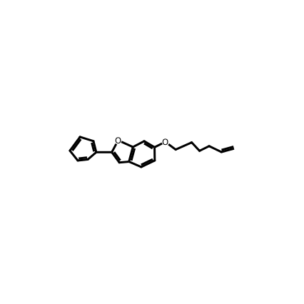 C=CCCCCOc1ccc2cc(-c3ccccc3)oc2c1